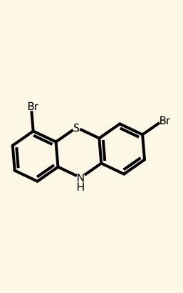 Brc1ccc2c(c1)Sc1c(Br)cccc1N2